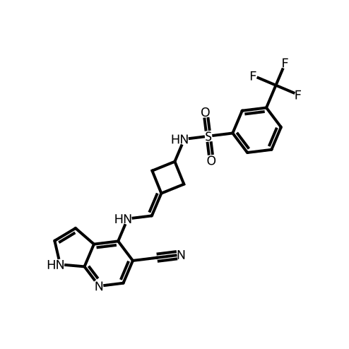 N#Cc1cnc2[nH]ccc2c1NC=C1CC(NS(=O)(=O)c2cccc(C(F)(F)F)c2)C1